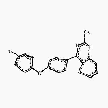 Cc1nc(-c2ccc(Oc3ccc(F)cc3)cc2)c2ccccc2n1